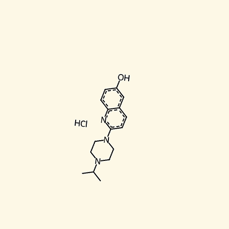 CC(C)N1CCN(c2ccc3cc(O)ccc3n2)CC1.Cl